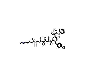 C/C=C/CCCCC(=O)NCCNC(=O)C(=O)CNC(=O)[C@H]1CN(C(=O)C(Nc2ccccn2)C(C)C)CCN1Cc1ccc(Cl)cc1